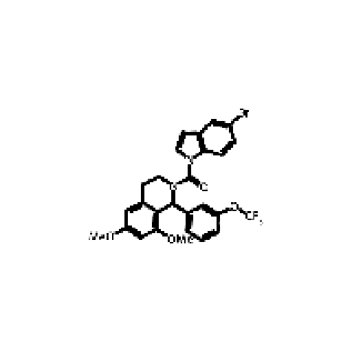 COc1cc2c(c(OC)c1)C(c1cccc(OC(F)(F)F)c1)N(C(=O)n1ccc3cc(Br)ccc31)CC2